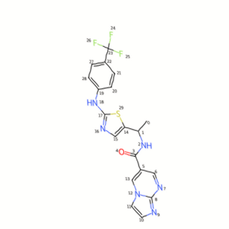 CC(NC(=O)c1cnc2nccn2c1)c1cnc(Nc2ccc(C(F)(F)F)cc2)s1